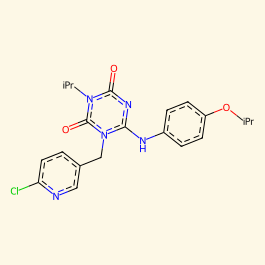 CC(C)Oc1ccc(Nc2nc(=O)n(C(C)C)c(=O)n2Cc2ccc(Cl)nc2)cc1